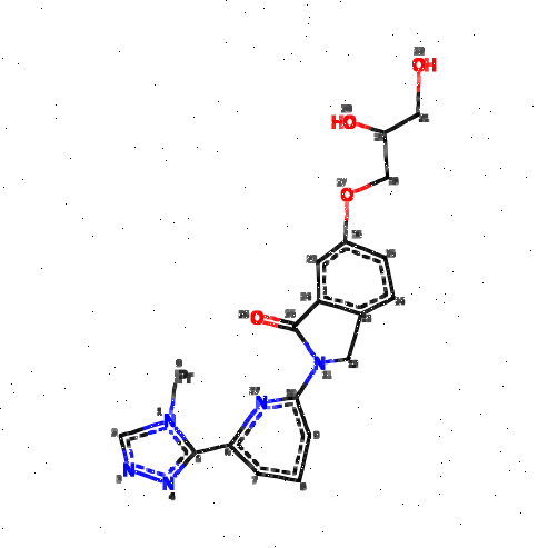 CC(C)n1cnnc1-c1cccc(N2Cc3ccc(OCC(O)CO)cc3C2=O)n1